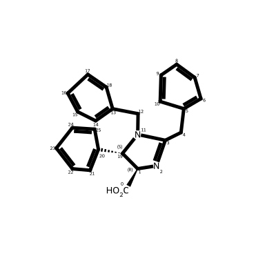 O=C(O)[C@@H]1N=C(Cc2ccccc2)N(Cc2ccccc2)[C@H]1c1ccccc1